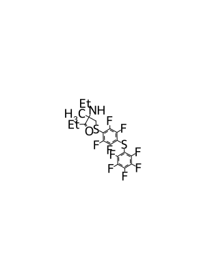 CCNC(C)(CSc1c(F)c(F)c(Sc2c(F)c(F)c(F)c(F)c2F)c(F)c1F)C(=O)CC